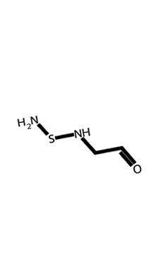 NSNCC=O